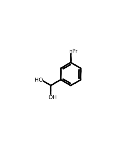 CCCc1cccc(C(O)O)c1